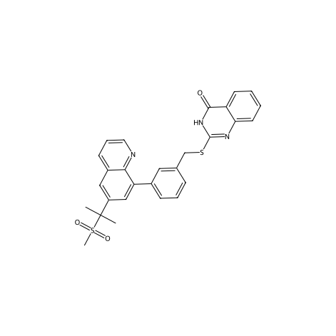 CC(C)(c1cc(-c2cccc(CSc3nc4ccccc4c(=O)[nH]3)c2)c2ncccc2c1)S(C)(=O)=O